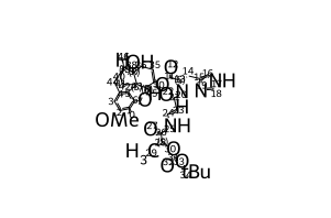 COc1ccc2c3c1O[C@H]1C(OC(=O)[C@H](Cc4c[nH]cn4)NC(=O)CCNC(=O)[C@H](C)OC(=O)OC(C)(C)C)=CC[C@@]4(O)[C@H](CCC[C@]314)C2